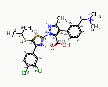 Cc1nn(-c2nc(-c3ccc(Cl)c(Cl)c3)c(SC(C)C)s2)c(C(=O)O)c1-c1cccc(CN(C)C)c1